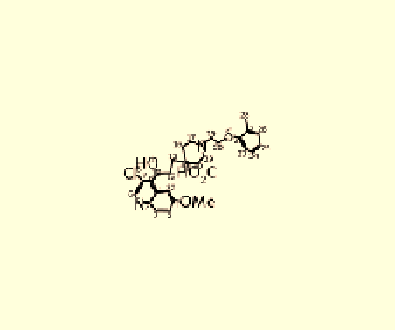 COc1ccc2ncc(Cl)c([C@@H](O)CCC3(C(=O)O)CCN(CCSc4ccccc4C)CC3)c2c1